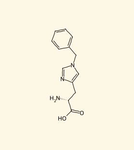 N[C@H](Cc1cn(Cc2ccccc2)cn1)C(=O)O